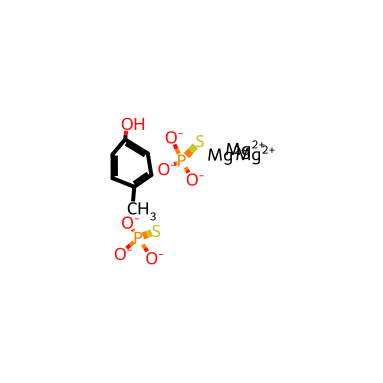 Cc1ccc(O)cc1.[Mg+2].[Mg+2].[Mg+2].[O-]P([O-])([O-])=S.[O-]P([O-])([O-])=S